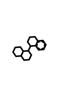 c1ccc2c(c1)CCC[C]2C1CCCC2CCCCC21